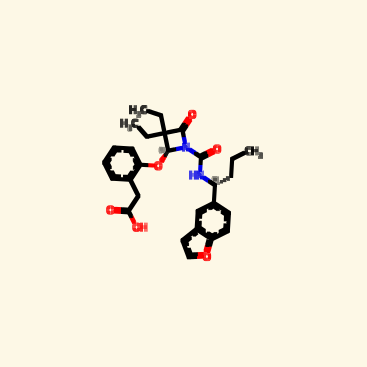 CCC[C@@H](NC(=O)N1C(=O)C(CC)(CC)[C@@H]1Oc1ccccc1CC(=O)O)c1ccc2occc2c1